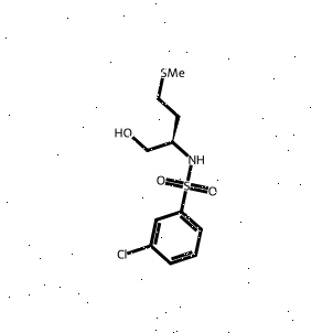 CSCC[C@H](CO)NS(=O)(=O)c1cccc(Cl)c1